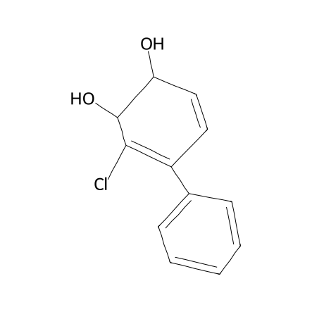 OC1C=CC(c2ccccc2)=C(Cl)C1O